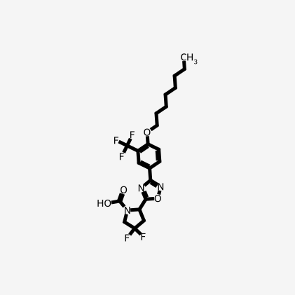 CCCCCCCCOc1ccc(-c2noc(C3CC(F)(F)CN3C(=O)O)n2)cc1C(F)(F)F